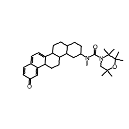 CN(C(=O)N1CC(C)(C)OC(C)(C)C1(C)C)C1CCC2CCC3C4=CC=C5C=CC(=O)C=C5C4CCC3C2C1